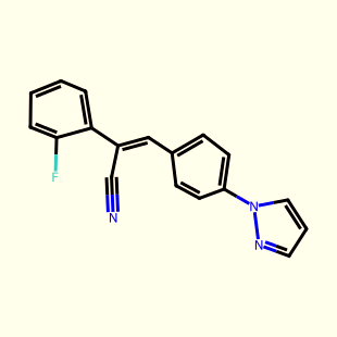 N#C/C(=C\c1ccc(-n2cccn2)cc1)c1ccccc1F